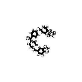 CS(=O)(=O)Oc1ccc(Oc2ccc(C(=O)N3CCN(Cc4ccc5c(c4)OCO5)CC3)cc2)nc1